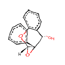 O[C@H]1c2ccccc2O[C@H]2O[C@]21c1ccccc1